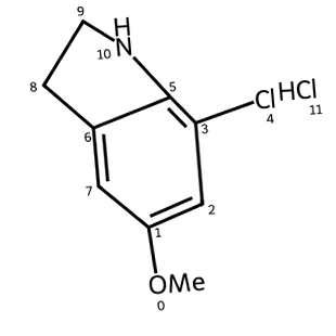 COc1cc(Cl)c2c(c1)CCN2.Cl